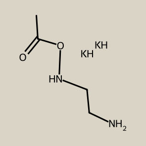 CC(=O)ONCCN.[KH].[KH]